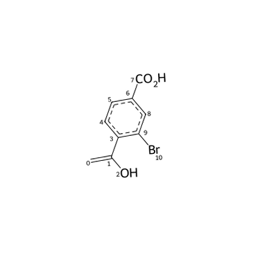 C=C(O)c1ccc(C(=O)O)cc1Br